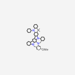 COC1C=C2C(=CC1)Cn1c3ccccc3c3cc4c5cc6c(cc5n5c4c(c31)N2Cc1ccccc1-5)C(C)(C)c1ccccc1N6c1ccccc1